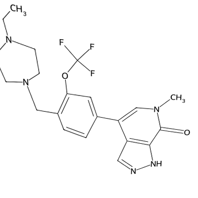 CCN1CCN(Cc2ccc(-c3cn(C)c(=O)c4[nH]ncc34)cc2OC(F)(F)F)CC1